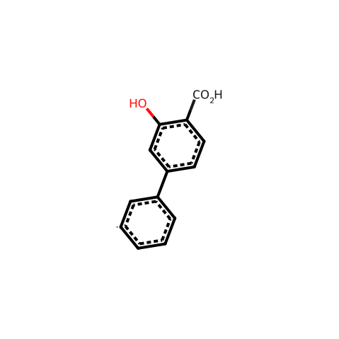 O=C(O)c1ccc(-c2c[c]ccc2)cc1O